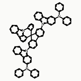 c1ccc(N(c2ccccc2)c2ccc3c(c2)c2ccccc2n3-c2ccc3c(c2)C2(c4cc(-n5c6ccccc6c6cc(N(c7ccccc7)c7ccccc7)ccc65)ccc4-3)c3ccccc3-n3c4ccccc4c4cccc2c43)cc1